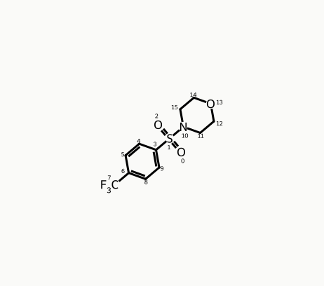 O=S(=O)(c1ccc(C(F)(F)F)cc1)N1CCOCC1